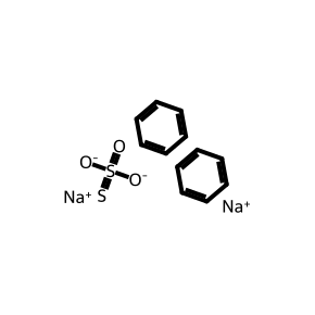 O=S([O-])([O-])=S.[Na+].[Na+].c1ccccc1.c1ccccc1